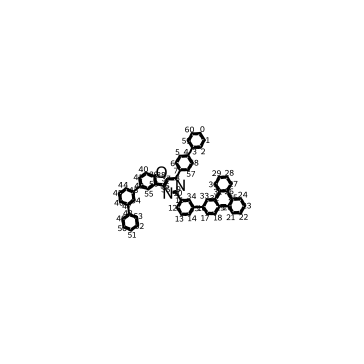 c1ccc(-c2ccc(-c3nc(-c4cccc(-c5ccc6c7ccccc7c7ccccc7c6c5)c4)nc4c3oc3ccc(-c5cccc(-c6ccccc6)c5)cc34)cc2)cc1